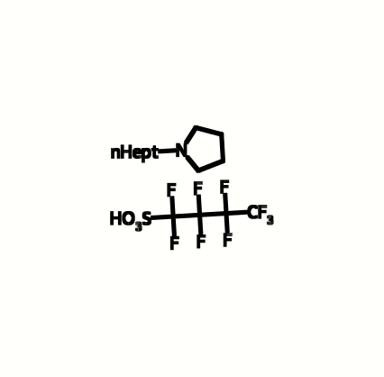 CCCCCCCN1CCCC1.O=S(=O)(O)C(F)(F)C(F)(F)C(F)(F)C(F)(F)F